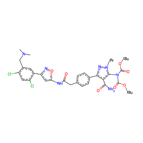 CC(C)n1nc(-c2ccc(CC(=O)Nc3cc(-c4cc(CN(C)C)c(Cl)cc4Cl)no3)cc2)c(C(N)=O)c1N(C(=O)OC(C)(C)C)C(=O)OC(C)(C)C